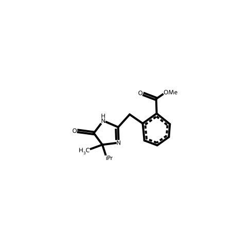 COC(=O)c1ccccc1CC1=NC(C)(C(C)C)C(=O)N1